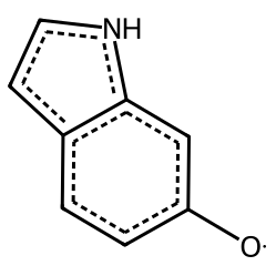 [O]c1ccc2cc[nH]c2c1